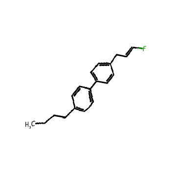 CCCCc1ccc(-c2ccc(CC=CF)cc2)cc1